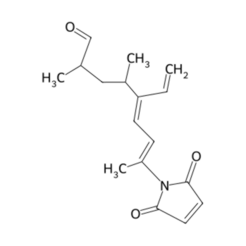 C=C/C(=C\C=C(/C)N1C(=O)C=CC1=O)C(C)CC(C)C=O